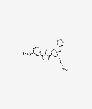 COCCOc1cc(NC(=O)Nc2cccc(OC)c2)ccc1Oc1ccccc1